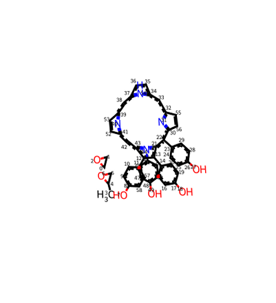 C1CO1.CC1CO1.Oc1ccc(-c2c(-c3ccc(O)cc3)c3c(-c4ccc(O)cc4)c4nc(cc5ccc(cc6nc(cc2n3-c2ccc(O)cc2)C=C6)[nH]5)C=C4)cc1